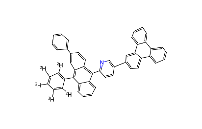 [2H]c1c([2H])c([2H])c(-c2c3ccccc3c(-c3ccc(-c4ccc5c6ccccc6c6ccccc6c5c4)cn3)c3ccc(-c4ccccc4)cc23)c([2H])c1[2H]